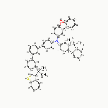 CC1(C)c2ccccc2-c2ccc(N(c3ccc(-c4cccc(-c5ccc6c(c5)C(C)(C)c5c-6sc6ccccc56)c4)cc3)c3ccc4oc5ccccc5c4c3)cc21